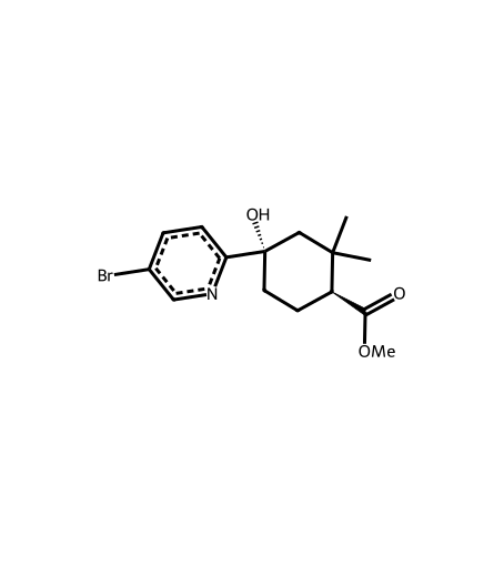 COC(=O)[C@H]1CC[C@@](O)(c2ccc(Br)cn2)CC1(C)C